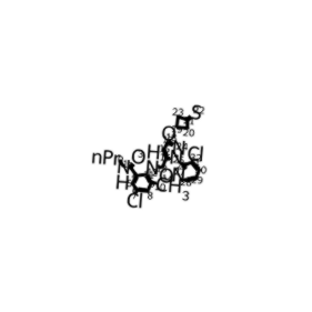 CCCNC(=O)c1cc(Cl)cc(C)c1NC(=O)c1cc(OC2CC(=S)C2)nn1-c1ncccc1Cl